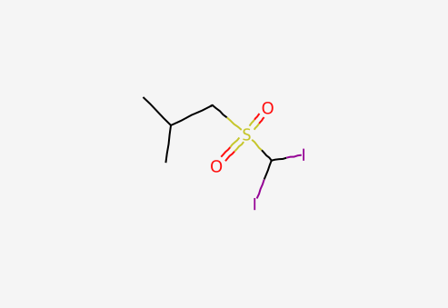 CC(C)CS(=O)(=O)C(I)I